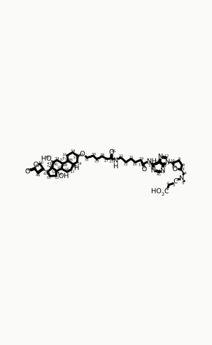 CN(CCCC(=O)O)C[C@@H]1CC[C@H](n2cnc3c(NC(=O)CCCCCNC(=O)CCCCCO[C@@H]4CC[C@]5(C)C6C[C@@H](O)[C@]7(C)[C@@H](C8=CC(=O)OC8)CC[C@]7(O)C6CC[C@@H]5C4)ncnc32)O1